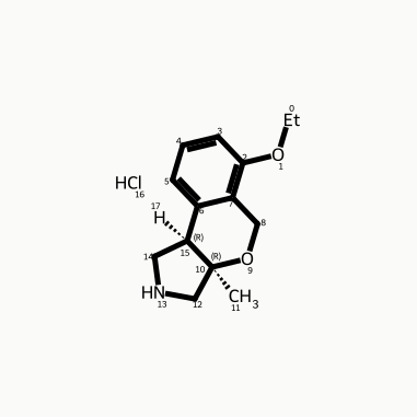 CCOc1cccc2c1CO[C@@]1(C)CNC[C@@H]21.Cl